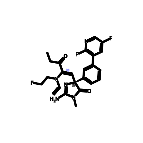 C=CN(CCF)/C(=C\[C@@]1(c2cccc(-c3cc(F)cnc3F)c2)N=C(N)N(C)C1=O)C(=O)CC